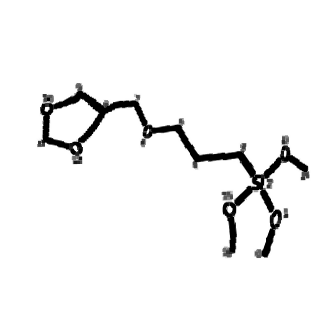 CO[Si](CCCOCC1COCO1)(OC)OC